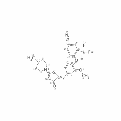 COc1cc(/C=C2\SC(N3CCN(C)CC3)=NC2=O)ccc1Oc1ccc(C#N)cc1C(F)(F)F